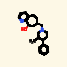 CC1CN(C[C@@H]2CCc3cccnc3[C@@H](O)C2)CCC1c1ccccc1